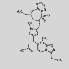 CC[C@@H]1CN(Cc2cc([C@@H](CC(=O)O)c3ccc4c(nnn4CC)c3C)sc2C)S(=O)(=O)c2cccnc2O1